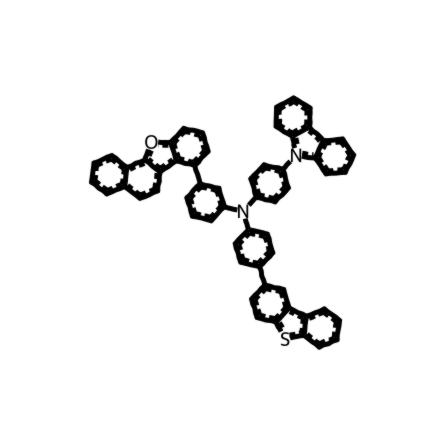 c1cc(-c2cccc3oc4c5ccccc5ccc4c23)cc(N(c2ccc(-c3ccc4sc5ccccc5c4c3)cc2)c2ccc(-n3c4ccccc4c4ccccc43)cc2)c1